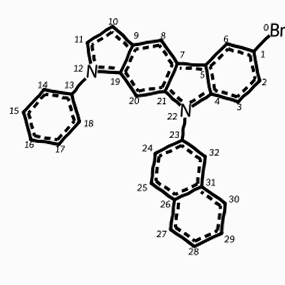 Brc1ccc2c(c1)c1cc3ccn(-c4ccccc4)c3cc1n2-c1ccc2ccccc2c1